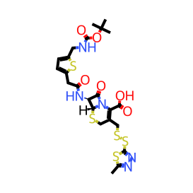 Cc1nnc(SSCC2=C(C(=O)O)N3C(=O)[C@@H](NC(=O)Cc4ccc(CNC(=O)OC(C)(C)C)s4)[C@H]3SC2)s1